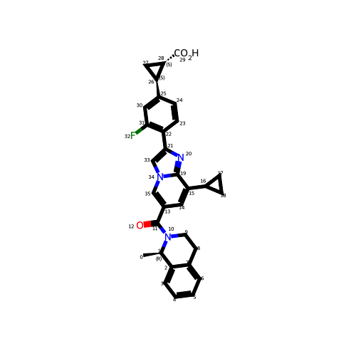 C[C@@H]1c2ccccc2CCN1C(=O)c1cc(C2CC2)c2nc(-c3ccc([C@H]4C[C@@H]4C(=O)O)cc3F)cn2c1